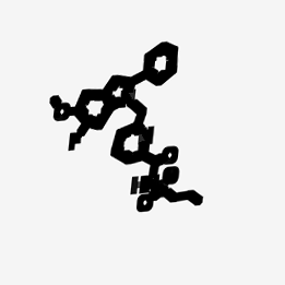 CCCS(=O)(=O)NC(=O)c1cccc(Cn2c(-c3ccccc3)cc3cc(OC)c(F)cc32)n1